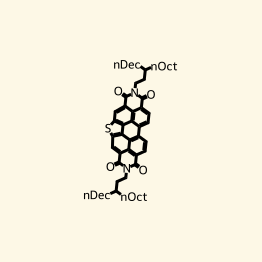 CCCCCCCCCCC(CCCCCCCC)CCn1c(=O)c2ccc3c4ccc5c(=O)n(CCC(CCCCCCCC)CCCCCCCCCC)c(=O)c6cc7sc8cc(c1=O)c2c3c8c7c4c56